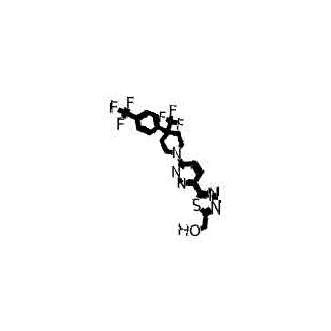 OCc1nnc(-c2ccc(N3CCC(c4ccc(C(F)(F)F)cc4)(C(F)(F)F)CC3)nn2)s1